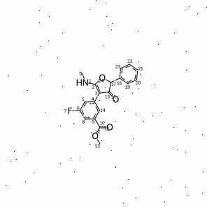 CNC1=C(c2cc(F)cc(C(=O)OC)c2)C(=O)C(c2ccccc2)O1